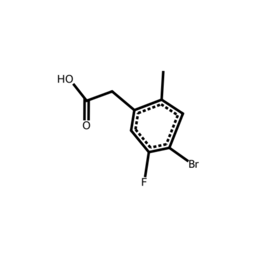 Cc1cc(Br)c(F)cc1CC(=O)O